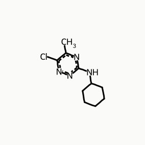 Cc1nc(NC2CCCCC2)nnc1Cl